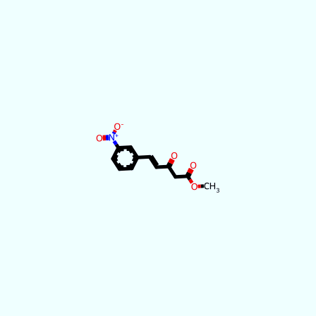 COC(=O)CC(=O)C=Cc1cccc([N+](=O)[O-])c1